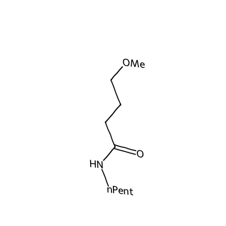 CCCCCNC(=O)CCCOC